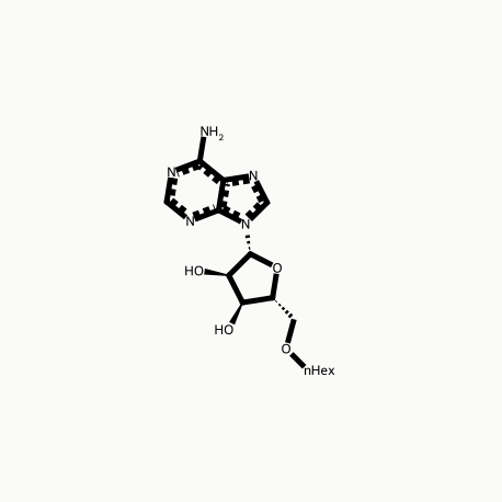 CCCCCCOC[C@H]1O[C@@H](n2cnc3c(N)ncnc32)[C@H](O)[C@@H]1O